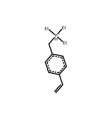 C=Cc1ccc(C[PH](CC)(CC)CC)cc1